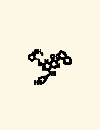 Cc1c(-c2cccc3ccccc23)ncc2c(NC3C4CNCC43)nc(OC[C@@H]3CCCN3C)nc12